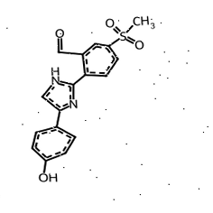 CS(=O)(=O)c1ccc(-c2nc(-c3ccc(O)cc3)c[nH]2)c(C=O)c1